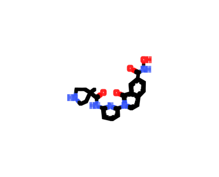 CC1(C(=O)Nc2cccc(-n3ccc4ccc(C(=O)NO)cc4c3=O)n2)CCNCC1